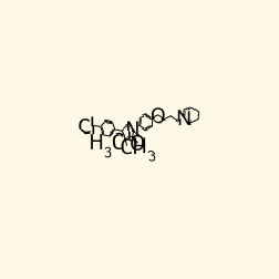 CC1(C)C(=O)N(c2ccc(OCCCN3CCCCC3)cc2)CC1c1ccc(Cl)cc1